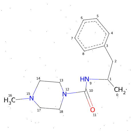 [CH2]C(Cc1ccccc1)NC(=O)N1CCN(C)CC1